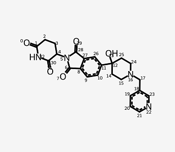 O=C1CCC(N2C(=O)c3ccc(C4(O)CCN(Cc5cccnc5)CC4)cc3C2=O)C(=O)N1